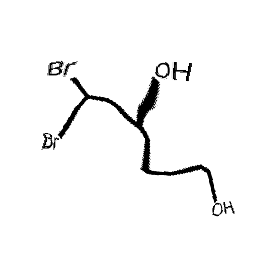 OCCC(O)C(Br)Br